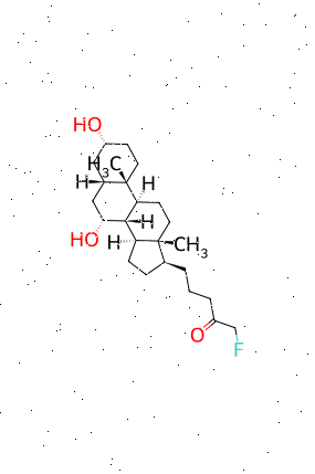 C[C@]12CC[C@@H](O)C[C@H]1C[C@@H](O)[C@@H]1[C@@H]2CC[C@]2(C)[C@@H](CCCC(=O)CF)CC[C@@H]12